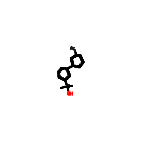 CC(=O)c1cccc(-c2cccc([Si](C)(C)O)c2)c1